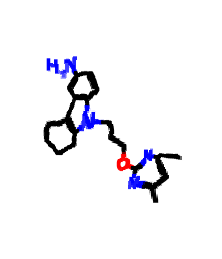 Cc1cc(C)nc(OCCCn2c3c(c4cc(N)ccc42)CCCC3)n1